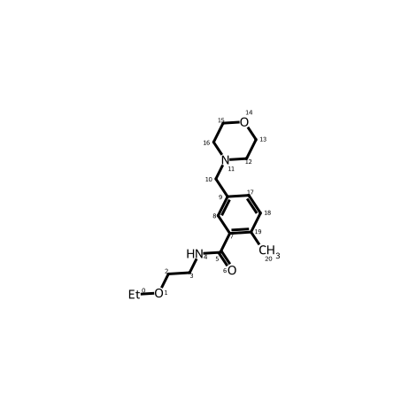 CCOCCNC(=O)c1cc(CN2CCOCC2)ccc1C